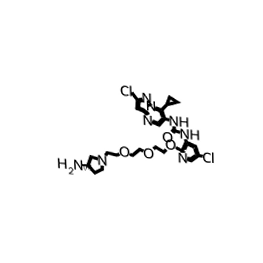 N[C@@H]1CCN(CCOCCOCCOc2ncc(Cl)cc2NC(=O)Nc2cnc3cc(Cl)nn3c2C2CC2)C1